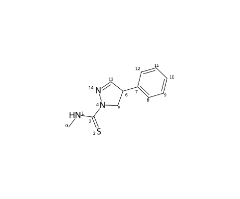 CNC(=S)N1CC(c2ccccc2)C=N1